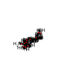 CC(=O)N[C@H](CCC(=O)O)C(=O)N[C@H](C)C(=O)N[C@H](Cc1ccccc1)C(=O)N[C@H](Cc1cn(CCCC[C@H](NC(C)O)C(=O)N[C@H](Cc2ccc(O)cc2)C(=O)N[C@H](CCCCN)C(=O)N[C@H](CO)C(=O)N[C@H](Cc2ccc(O)cc2)C(N)=O)nn1)C(=O)O